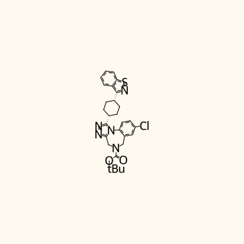 CC(C)(C)OC(=O)N1Cc2cc(Cl)ccc2-n2c(nnc2[C@H]2CC[C@@H](c3nsc4ccccc43)CC2)C1